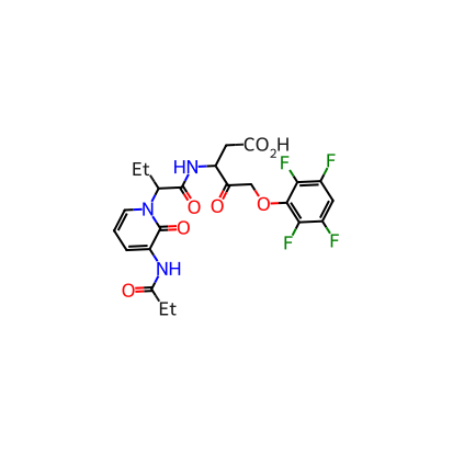 CCC(=O)Nc1cccn(C(CC)C(=O)NC(CC(=O)O)C(=O)COc2c(F)c(F)cc(F)c2F)c1=O